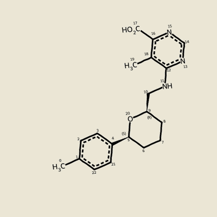 Cc1ccc([C@@H]2CCC[C@H](CNc3ncnc(C(=O)O)c3C)O2)cc1